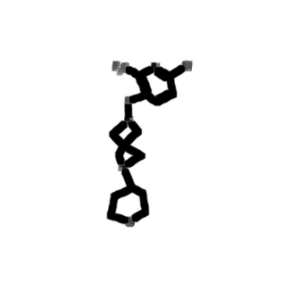 FC(F)(F)c1nc(Cl)ccc1SN1CC2(C1)CN(C1CCOCC1)C2